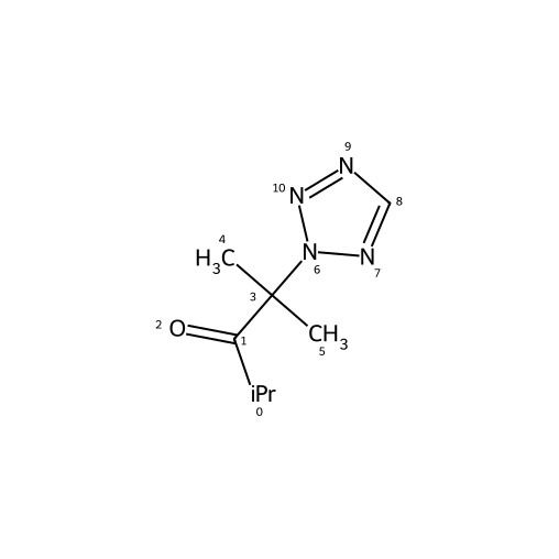 CC(C)C(=O)C(C)(C)n1ncnn1